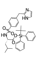 CC(C)C[C@H](NS(=O)(=O)c1ccc(Cc2ncc[nH]2)cc1)C(=O)O[Si](c1ccccc1)(c1ccccc1)C(C)(C)C